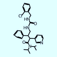 CC(C)N(C(=O)C(c1cccnc1)C(CNC(=O)NCc1ccccc1Cl)c1ccccc1)C(C)C